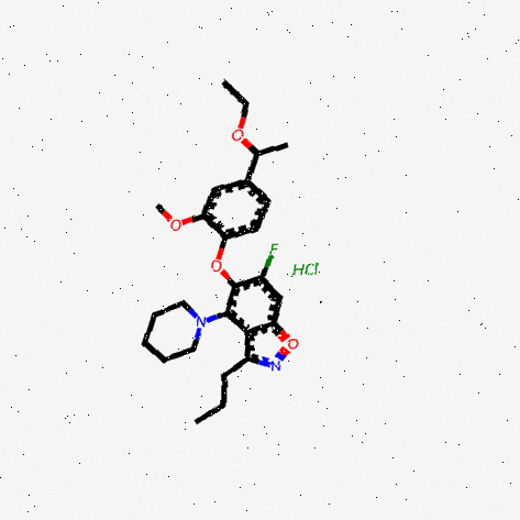 CCCc1noc2cc(F)c(Oc3ccc(C(C)OCC)cc3OC)c(N3CCCCC3)c12.Cl